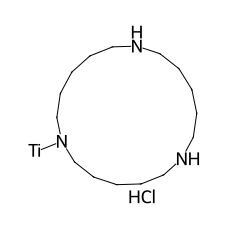 Cl.[Ti][N]1CCCCCNCCCCCNCCCCC1